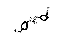 O=C(Nc1ccc(CO)cc1)Nc1cccc(Br)c1